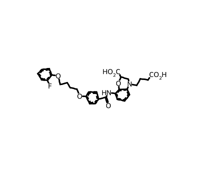 O=C(O)CCCN1CC(C(=O)O)Oc2c(NC(=O)c3ccc(OCCCCOc4ccccc4F)cc3)cccc21